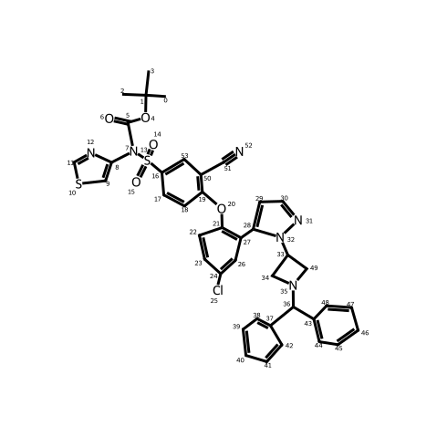 CC(C)(C)OC(=O)N(c1cscn1)S(=O)(=O)c1ccc(Oc2ccc(Cl)cc2-c2ccnn2C2CN(C(c3ccccc3)c3ccccc3)C2)c(C#N)c1